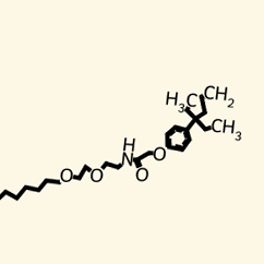 C=CCC(CC)(CC)c1ccc(OCC(=O)NCCOCCOCCCCCCCl)cc1